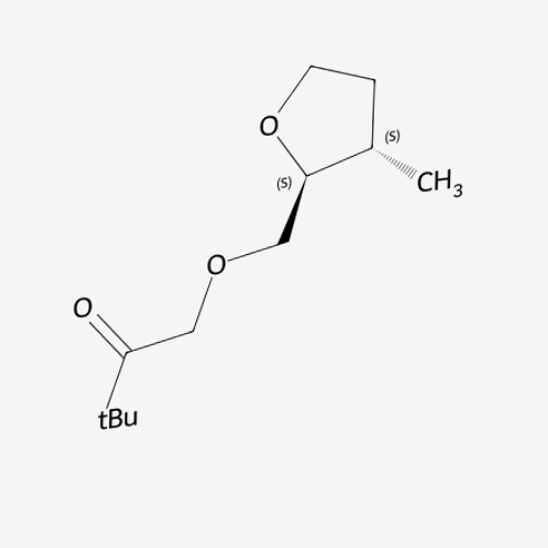 C[C@H]1CCO[C@@H]1COCC(=O)C(C)(C)C